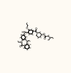 CCOc1cc(C(=O)N2CCC[C@H](OC(=O)CN(C)C)C2)ccc1Nc1cc2c(cn1)N(C)C(=O)c1ccccc1N2C